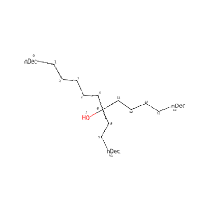 CCCCCCCCCCCCCCCC(O)(CCCCCCCCCCCC)CCCCCCCCCCCCCC